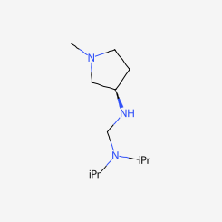 CC(C)N(CN[C@@H]1CCN(C)C1)C(C)C